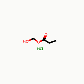 CCC(=O)OCO.Cl